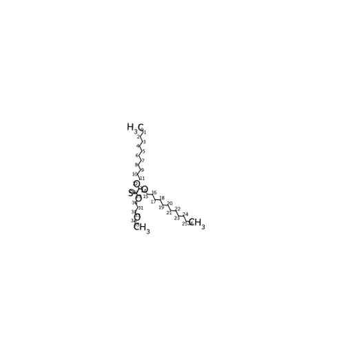 CCCCCCCCCCCCOC(OCCCCCCCCCCCC)C(=S)OCCCOCC